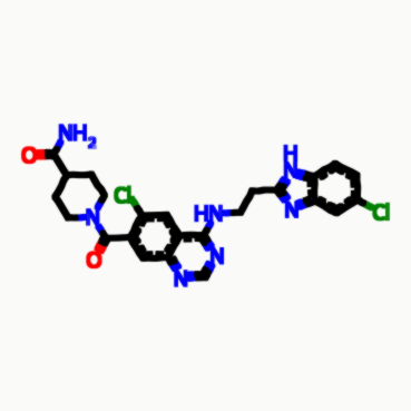 NC(=O)C1CCN(C(=O)c2cc3ncnc(NCCc4nc5cc(Cl)ccc5[nH]4)c3cc2Cl)CC1